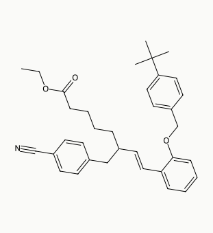 CCOC(=O)CCCCC(C=Cc1ccccc1OCc1ccc(C(C)(C)C)cc1)Cc1ccc(C#N)cc1